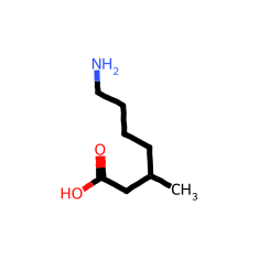 CC(CCCCN)CC(=O)O